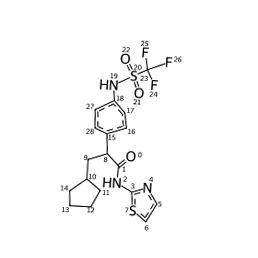 O=C(Nc1nccs1)C(CC1CCCC1)c1ccc(NS(=O)(=O)C(F)(F)F)cc1